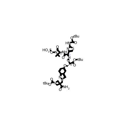 CC(C)(C)OC(=O)Nc1nc(/C(=N/O[C@@H](COc2ccc3nn(CC4(C(N)=O)CN(C(=O)OC(C)(C)C)C4)cc3c2)C(=O)OC(C)(C)C)C(=O)N[C@@H]2C(=O)N(OS(=O)(=O)O)C2(C)C)cs1